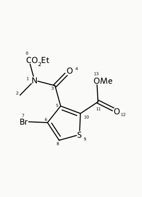 CCOC(=O)N(C)C(=O)c1c(Br)csc1C(=O)OC